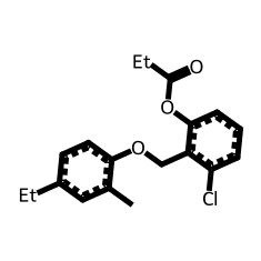 CCC(=O)Oc1cccc(Cl)c1COc1ccc(CC)cc1C